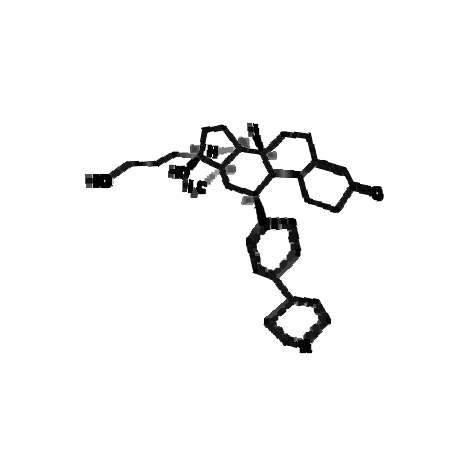 C[C@@]12C[C@H](c3ccc(-c4ccncc4)cc3)C3=C4CCC(=O)C=C4CC[C@H]3[C@@H]1CC[C@@]2(O)CCCO